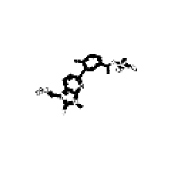 Cc1ccc(C(C)OS(C)(=O)=O)cc1-c1ccc2c(n1)n(C)c(=O)n2CC(C)(C)C